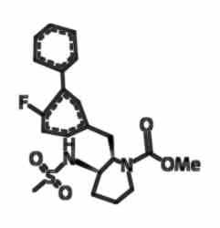 COC(=O)N1CCC[C@@H](NS(C)(=O)=O)[C@H]1Cc1ccc(F)c(-c2ccccc2)c1